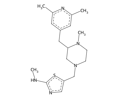 CNc1ncc(CN2CCN(C)C(Cc3cc(C)nc(C)c3)C2)s1